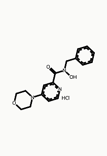 Cl.O=C(c1cc(N2CCOCC2)ccn1)N(O)Cc1ccccc1